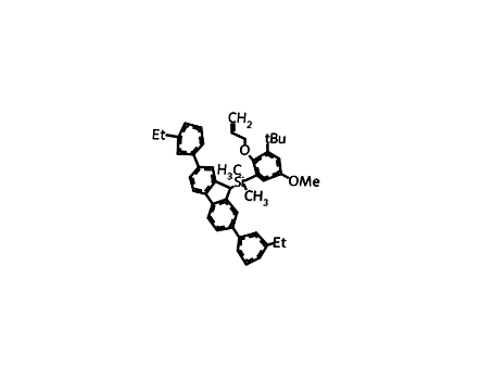 C=CCOc1c(C(C)(C)C)cc(OC)cc1[Si](C)(C)C1c2cc(-c3cccc(CC)c3)ccc2-c2ccc(-c3cccc(CC)c3)cc21